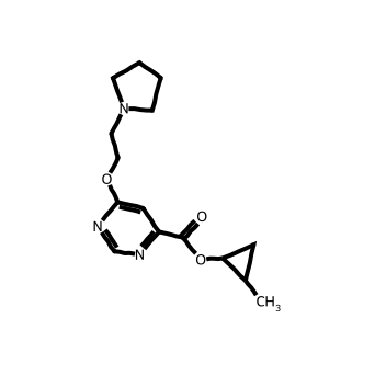 CC1CC1OC(=O)c1cc(OCCN2CCCC2)ncn1